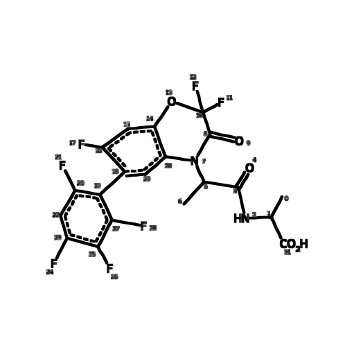 CC(NC(=O)C(C)N1C(=O)C(F)(F)Oc2cc(F)c(-c3c(F)cc(F)c(F)c3F)cc21)C(=O)O